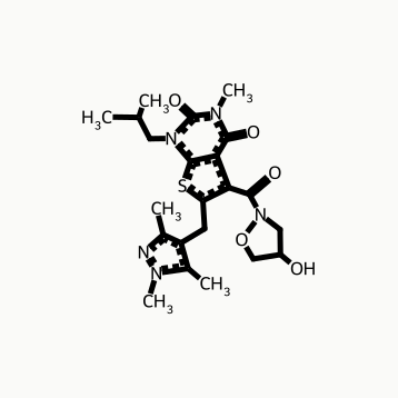 Cc1nn(C)c(C)c1Cc1sc2c(c1C(=O)N1CC(O)CO1)c(=O)n(C)c(=O)n2CC(C)C